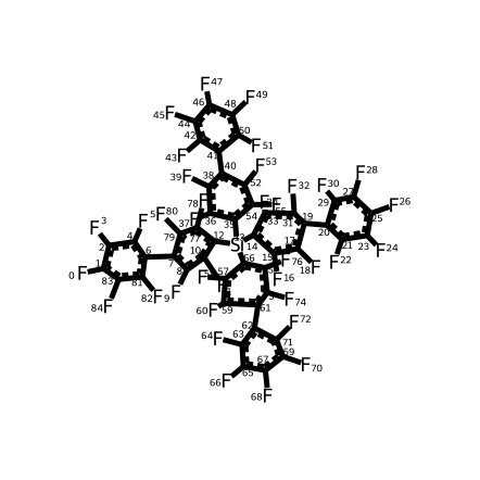 Fc1c(F)c(F)c(-c2c(F)c(F)c([Si](c3c(F)c(F)c(-c4c(F)c(F)c(F)c(F)c4F)c(F)c3F)(c3c(F)c(F)c(-c4c(F)c(F)c(F)c(F)c4F)c(F)c3F)c3c(F)c(F)c(-c4c(F)c(F)c(F)c(F)c4F)c(F)c3F)c(F)c2F)c(F)c1F